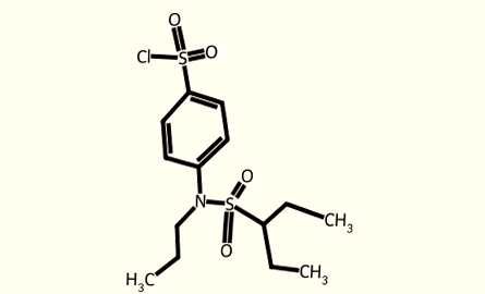 CCCN(c1ccc(S(=O)(=O)Cl)cc1)S(=O)(=O)C(CC)CC